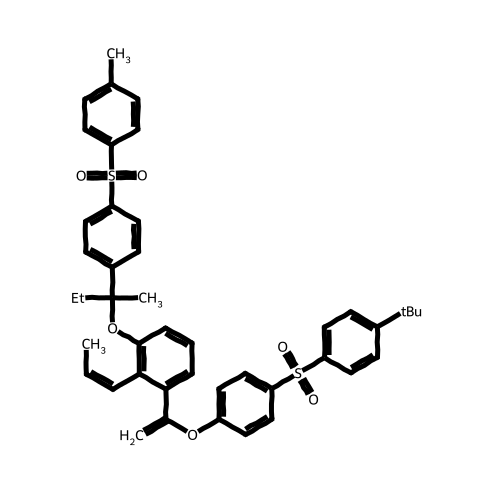 C=C(Oc1ccc(S(=O)(=O)c2ccc(C(C)(C)C)cc2)cc1)c1cccc(OC(C)(CC)c2ccc(S(=O)(=O)c3ccc(C)cc3)cc2)c1/C=C\C